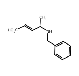 C[C@@H](/C=C/C(=O)O)NCc1ccccc1